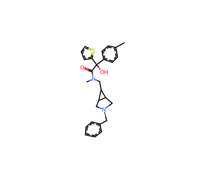 Cc1ccc(C(O)(C(=O)N(C)CC2C3CN(Cc4ccccc4)CC32)c2cccs2)cc1